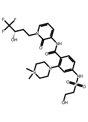 C[Si]1(C)CCN(c2cc(NS(=O)(=O)CCO)ccc2C(=O)Nc2cccn(CC[C@H](O)C(F)(F)F)c2=O)CC1